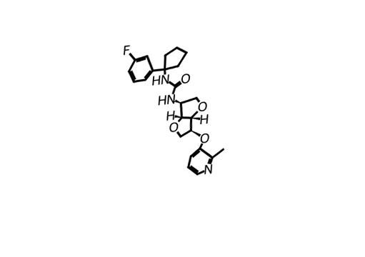 Cc1ncccc1O[C@H]1CO[C@H]2[C@@H]1OC[C@@H]2NC(=O)NC1(c2cccc(F)c2)CCCC1